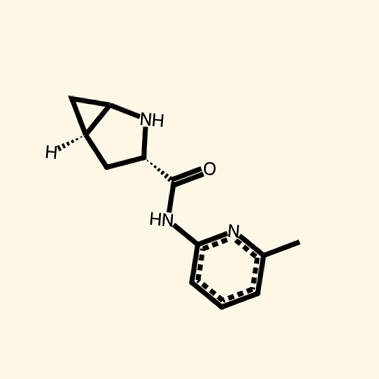 Cc1cccc(NC(=O)[C@@H]2C[C@H]3CC3N2)n1